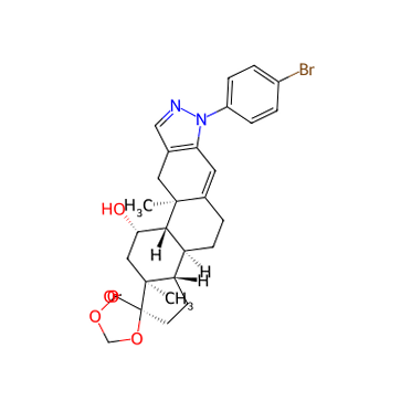 C[C@]12Cc3cnn(-c4ccc(Br)cc4)c3C=C1CC[C@@H]1[C@@H]2[C@@H](O)C[C@@]2(C)[C@H]1CC[C@@]21OCOC12COCO2